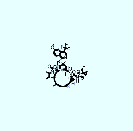 CCC(C)N(C(=O)O)[C@@H]1C(=O)N2[C@@H](C[C@@](C)(Oc3ncc(C(F)(F)F)c4cc(OC)ccc34)C2(F)F)C(=O)N[C@]2(C(=O)NS(=O)(=O)C3(CF)CC3)C[C@H]2/C=C\CC[C@@H](C)C[C@H]1C